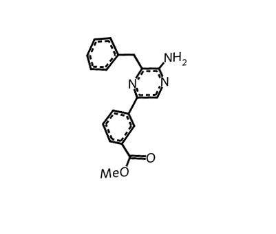 COC(=O)c1cccc(-c2cnc(N)c(Cc3ccccc3)n2)c1